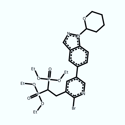 CCOP(=O)(OCC)C(Cc1cc(-c2ccc3c(cnn3C3CCCCO3)c2)cnc1Br)P(=O)(OCC)OCC